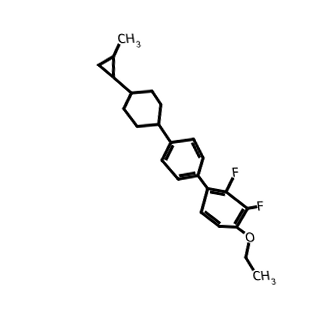 CCOc1ccc(-c2ccc(C3CCC(C4CC4C)CC3)cc2)c(F)c1F